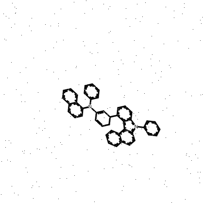 C1=CC(N(c2ccccc2)c2cccc3ccccc23)=CC(c2cccc3c2c2c4ccccc4ccc2n3-c2ccccc2)C1